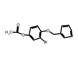 CC(=O)Oc1ccc(OCc2ccccc2)c(Br)c1